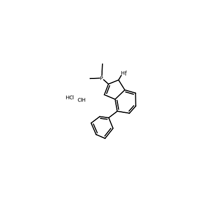 CP(C)C1=Cc2c(-c3ccccc3)cccc2[CH]1[Hf].Cl.Cl